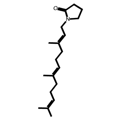 CC(C)=CCC/C(C)=C/CC/C(C)=C/CN1CCCC1=O